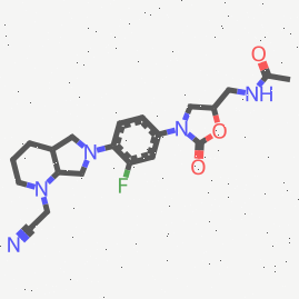 CC(=O)NCC1CN(c2ccc(N3CC4CCCN(CC#N)C4C3)c(F)c2)C(=O)O1